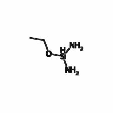 CCO[SiH](N)N